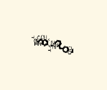 CC1(C)C(=O)Nc2cc(Nc3nc4cccc(CC5CCC6(CC5)OCCO6)n4n3)ccc21